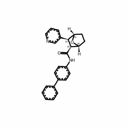 O=C(Nc1ccc(-c2ccccc2)cc1)[C@H]1[C@@H](c2cccnc2)[C@@H]2CC[C@H]1O2